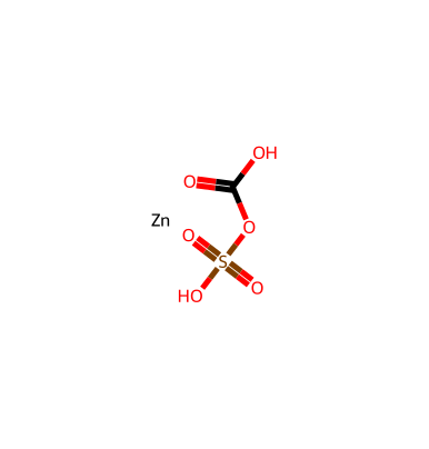 O=C(O)OS(=O)(=O)O.[Zn]